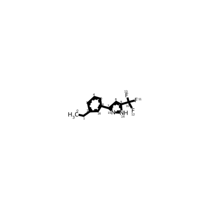 CCc1cccc(-c2cc(C(F)(F)F)[nH]n2)c1